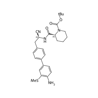 CSc1cc(-c2ccc(C[C@@H](C#N)NC(=O)[C@@H]3CCCCN3C(=O)OC(C)(C)C)cc2)ccc1N